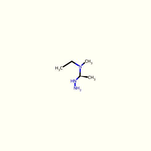 CCN(C)[C@@H](C)NN